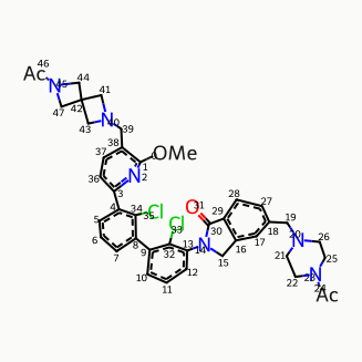 COc1nc(-c2cccc(-c3cccc(N4Cc5cc(CN6CCN(C(C)=O)CC6)ccc5C4=O)c3Cl)c2Cl)ccc1CN1CC2(C1)CN(C(C)=O)C2